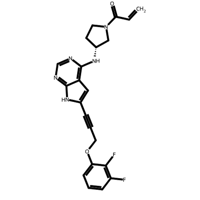 C=CC(=O)N1CC[C@@H](Nc2ncnc3[nH]c(C#CCOc4cccc(F)c4F)cc23)C1